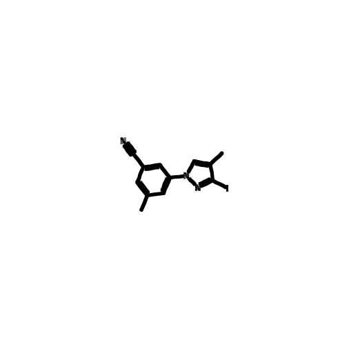 Cc1cc(C#N)cc(-n2cc(C)c(I)n2)c1